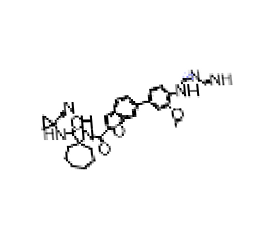 COc1cc(-c2ccc3cc(C(=O)NC4(C(=O)NC5(C#N)CC5)CCCCCC4)oc3c2)ccc1N/C=N\C=N